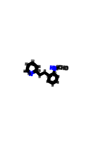 O=CNc1ccccc1CCc1ccccn1